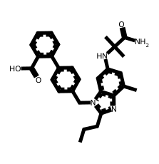 CCCc1nc2c(C)cc(NC(C)(C)C(N)=O)cc2n1Cc1ccc(-c2ccccc2C(=O)O)cc1